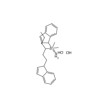 CCC[CH](CCC1C=Cc2ccccc21)[Zr]([CH3])([CH3])(=[SiH2])[CH]1C=Cc2ccccc21.Cl.Cl